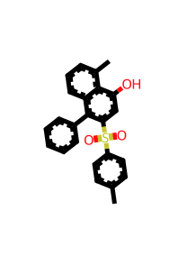 Cc1ccc(S(=O)(=O)c2cc(O)c3c(C)cccc3c2-c2ccccc2)cc1